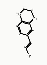 CC(=O)C=Cc1ccc2c(c1)OCCO2